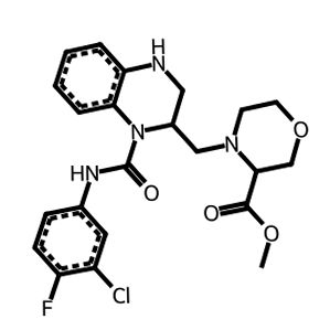 COC(=O)C1COCCN1CC1CNc2ccccc2N1C(=O)Nc1ccc(F)c(Cl)c1